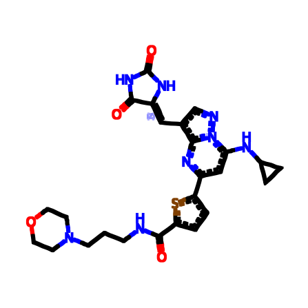 O=C1NC(=O)/C(=C/c2cnn3c(NC4CC4)cc(-c4ccc(C(=O)NCCCN5CCOCC5)s4)nc23)N1